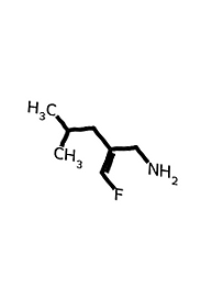 CC(C)CC(=CF)CN